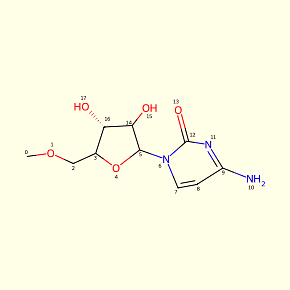 COCC1OC(n2ccc(N)nc2=O)C(O)[C@H]1O